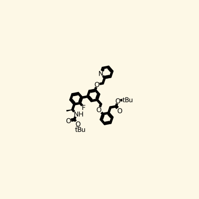 C[C@H](NC(=O)OC(C)(C)C)c1cccc(-c2cc(COc3ccccc3CC(=O)OC(C)(C)C)cc(OCc3ccccn3)c2)c1F